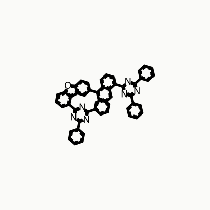 c1ccc(-c2nc(-c3ccccc3)nc(-c3cccc4c(-c5ccc6oc7cccc(-c8nc(-c9ccccc9)nc(-c9ccccc9)n8)c7c6c5)cccc34)n2)cc1